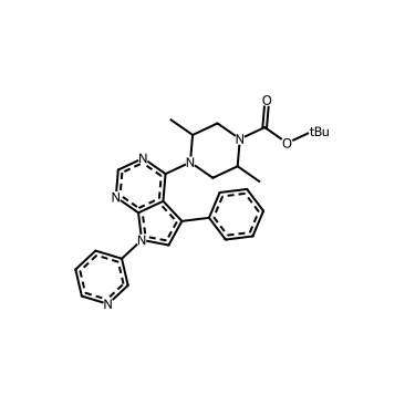 CC1CN(c2ncnc3c2c(-c2ccccc2)cn3-c2cccnc2)C(C)CN1C(=O)OC(C)(C)C